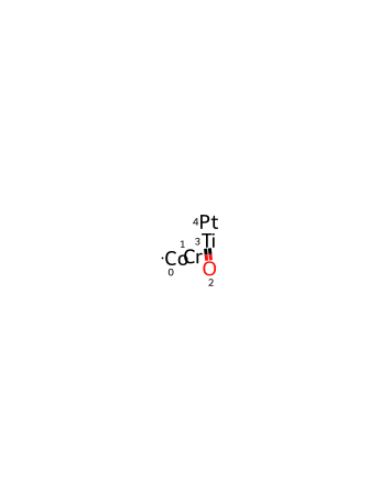 [Co].[Cr].[O]=[Ti].[Pt]